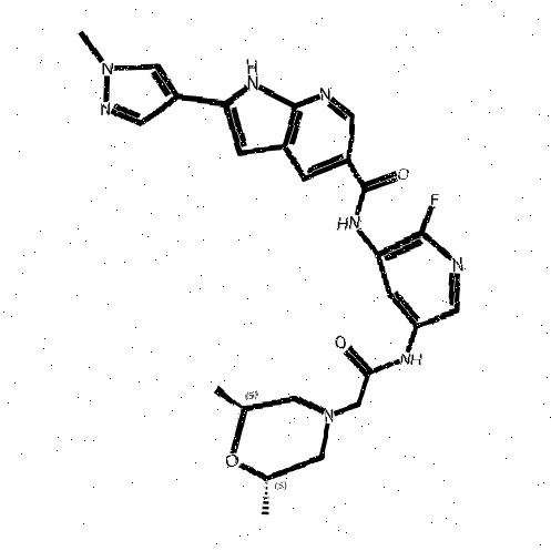 C[C@H]1CN(CC(=O)Nc2cnc(F)c(NC(=O)c3cnc4[nH]c(-c5cnn(C)c5)cc4c3)c2)C[C@H](C)O1